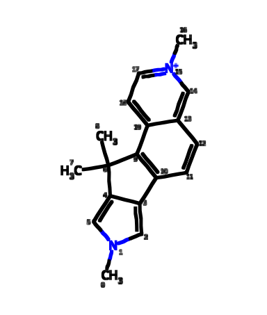 Cn1cc2c(c1)C(C)(C)c1c-2ccc2c[n+](C)ccc12